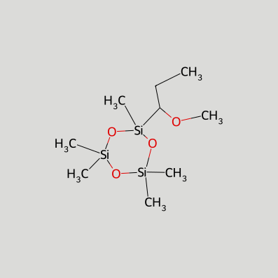 CCC(OC)[Si]1(C)O[Si](C)(C)O[Si](C)(C)O1